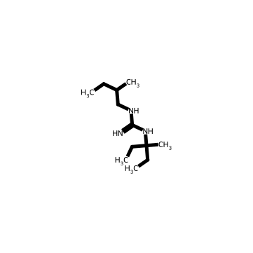 CCC(C)CNC(=N)NC(C)(CC)CC